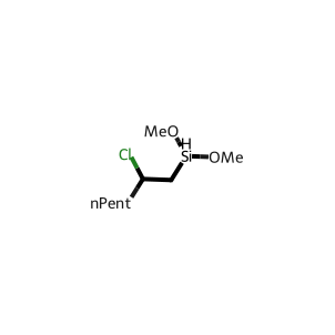 CCCCCC(Cl)C[SiH](OC)OC